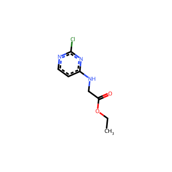 CCOC(=O)CNc1ccnc(Cl)n1